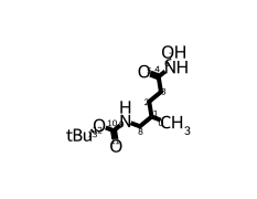 CC(CCC(=O)NO)CNC(=O)OC(C)(C)C